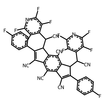 N#CC1=C(c2ccc(F)cc2)C(C(C#N)c2c(F)c(F)nc(F)c2F)c2c(C#N)c3c(c(C#N)c21)C(C#N)=C(c1ccc(F)cc1)C3C(C#N)c1c(F)c(F)nc(F)c1F